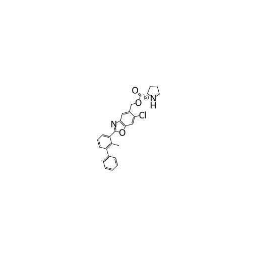 Cc1c(-c2ccccc2)cccc1-c1nc2cc(COC(=O)[C@@H]3CCCN3)c(Cl)cc2o1